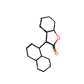 O=C1OC2CCCCC2C1C1CCCC2CCCCC21